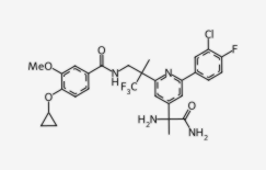 COc1cc(C(=O)NCC(C)(c2cc(C(C)(N)C(N)=O)cc(-c3ccc(F)c(Cl)c3)n2)C(F)(F)F)ccc1OC1CC1